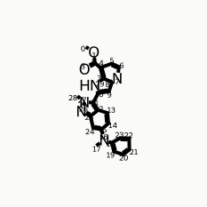 COC(=O)c1ccnc2cc(-c3c4ccc(N(C)c5ccccc5)cc4nn3C)[nH]c12